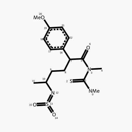 CNC(=S)N(C)C(=O)C(CCC(C)N=S(=O)=O)c1ccc(OC)cc1